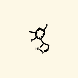 Cc1cc(F)cc(C2CC=NN2)c1F